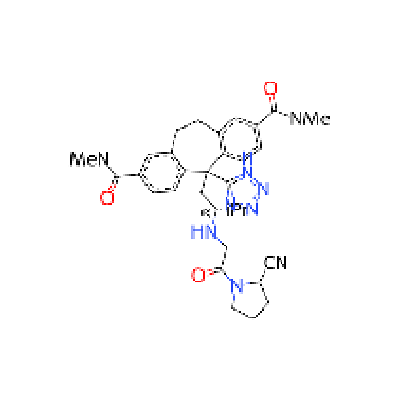 CNC(=O)c1ccc2c(c1)CCc1cc(C(=O)NC)ccc1C2(C[C@@H](NCC(=O)N1CCCC1C#N)C(C)C)c1nnn[nH]1